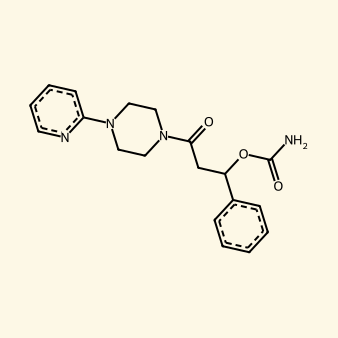 NC(=O)OC(CC(=O)N1CCN(c2ccccn2)CC1)c1ccccc1